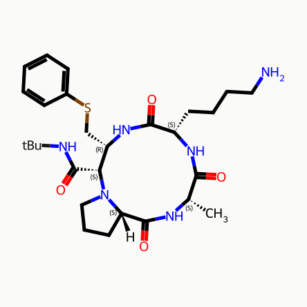 C[C@@H]1NC(=O)[C@@H]2CCCN2[C@H](C(=O)NC(C)(C)C)[C@H](CSc2ccccc2)NC(=O)[C@H](CCCCN)NC1=O